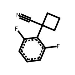 N#CC1(c2c(F)cccc2F)CCC1